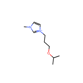 CC(C)OCCC[n+]1ccn(C)c1